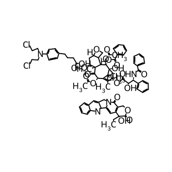 CC(=O)O[C@H]1C(=O)[C@@]2(C)[C@H]([C@H](OC(=O)c3ccccc3)[C@]3(O)C[C@H](OC(=O)[C@H](O)[C@@H](NC(=O)c4ccccc4)c4ccccc4)C(C)=C1C3(C)C)[C@]1(OC(C)=O)CO[C@@H]1C[C@@H]2O.CC[C@@]1(O)C(=O)OCc2c1cc1n(c2=O)Cc2cc3ccccc3nc2-1.O=C(O)CCCc1ccc(N(CCCl)CCCl)cc1